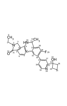 CCN1Cc2c(ccnc2NC(C)c2ccc(-c3ccnc(C4(O)CCC4)c3)c(F)c2)C1=O